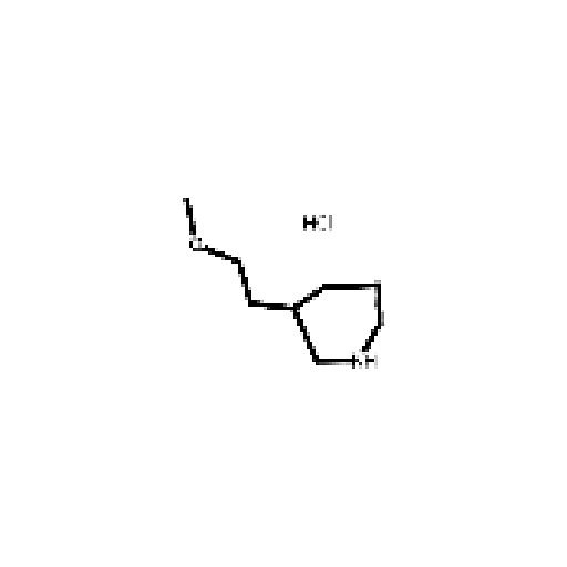 COCCC1CCCNC1.Cl